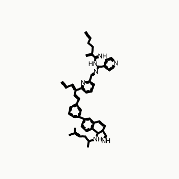 C=C/C=C(\C=C\c1cccc(-c2ccc3c(c2)C=CC(C=N)C3NC(C)CC=C(C)C)c1)c1cccc(/C=N/C(NC(=N)C(=C)CCC=C)c2ccncc2)n1